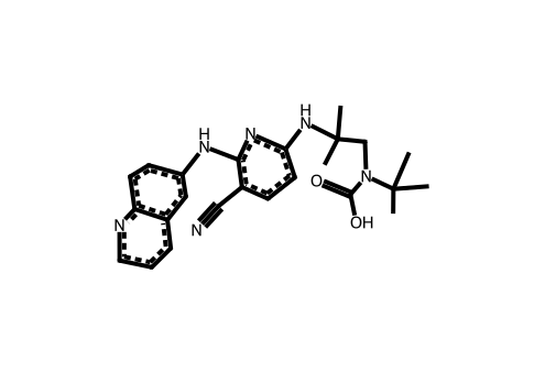 CC(C)(CN(C(=O)O)C(C)(C)C)Nc1ccc(C#N)c(Nc2ccc3ncccc3c2)n1